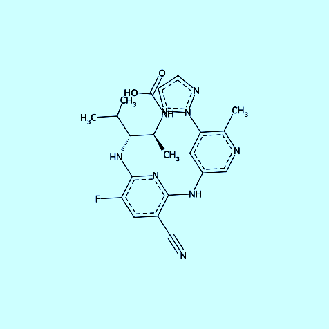 Cc1ncc(Nc2nc(N[C@H](C(C)C)[C@H](C)NC(=O)O)c(F)cc2C#N)cc1-n1nccn1